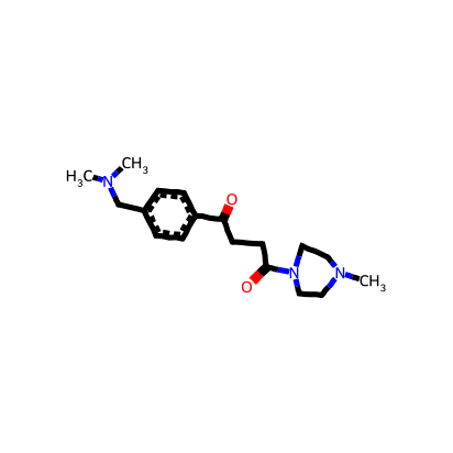 CN(C)Cc1ccc(C(=O)CCC(=O)N2CCN(C)CC2)cc1